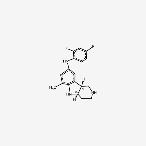 Cc1cc(Nc2ccc(F)cc2F)cc2c1N[C@H]1CCNC[C@@H]21